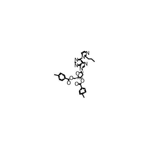 CCCc1nccn1-c1ncnc2c1ncn2[C@@H]1C[C@H](OC(=O)c2ccc(C)cc2)[C@@H](COC(=O)c2ccc(C)cc2)O1